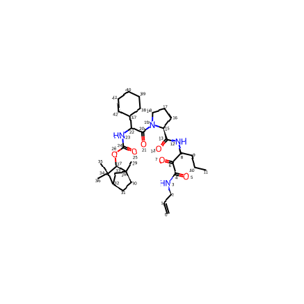 C=CCNC(=O)C(=O)C(CCC)NC(=O)[C@@H]1CCCN1C(=O)C(NC(=O)OC1C2(C)CCC(C2)C1(C)C)C1CCCCC1